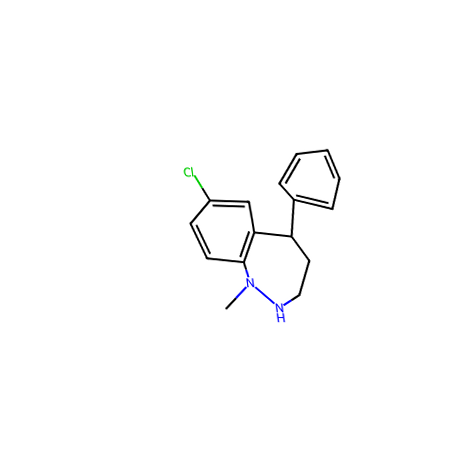 CN1NCCC(c2ccccc2)c2cc(Cl)ccc21